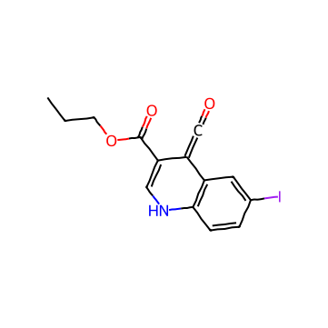 CCCOC(=O)C1=CNc2ccc(I)cc2C1=C=O